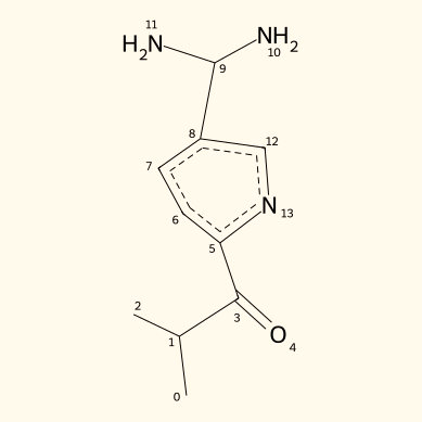 CC(C)C(=O)c1ccc(C(N)N)cn1